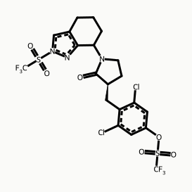 O=C1[C@H](Cc2c(Cl)cc(OS(=O)(=O)C(F)(F)F)cc2Cl)CCN1C1CCCc2cn(S(=O)(=O)C(F)(F)F)nc21